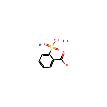 O=C(O)c1ccccc1S(=O)(=O)O.[LiH].[LiH]